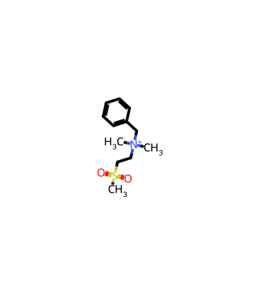 C[N+](C)(CCS(C)(=O)=O)Cc1ccccc1